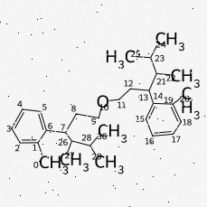 Cc1ccccc1C(CCOCCC(c1ccccc1C)C(C)C(C)C)C(C)C(C)C